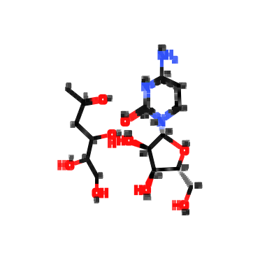 CC(=O)CC(O)C(O)CO.Nc1ccn([C@@H]2O[C@H](CO)[C@@H](O)[C@H]2O)c(=O)n1